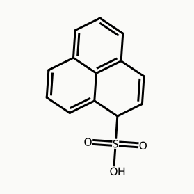 O=S(=O)(O)C1C=Cc2cccc3cccc1c23